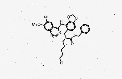 COc1cc2ncnc(Nc3c(CN(CCCCCCl)C(=O)OCc4ccccc4)ccc4c3OCO4)c2cc1O